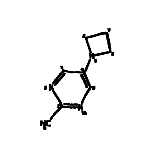 N#Cc1ncc(N2CCC2)cn1